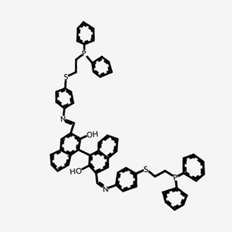 Oc1c(/C=N\c2ccc(SCCP(c3ccccc3)c3ccccc3)cc2)cc2ccccc2c1-c1c(O)c(/C=N/c2ccc(SCCP(c3ccccc3)c3ccccc3)cc2)cc2ccccc12